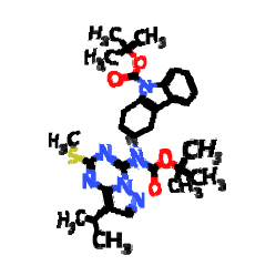 CSc1nc(N(C(=O)OC(C)(C)C)[C@@H]2CCc3c(c4ccccc4n3C(=O)OC(C)(C)C)C2)n2ncc(C(C)C)c2n1